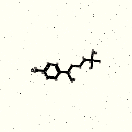 CCCN(CCO[Si](C)(C)C(C)(C)C)c1ccc([N+](=O)[O-])cc1